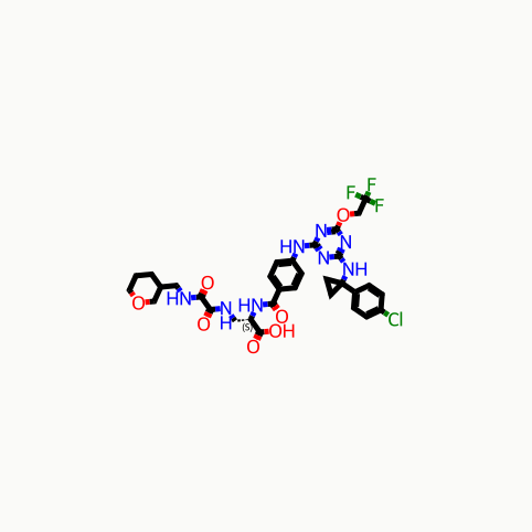 O=C(NCC1CCCOC1)C(=O)NC[C@H](NC(=O)c1ccc(Nc2nc(NC3(c4ccc(Cl)cc4)CC3)nc(OCC(F)(F)F)n2)cc1)C(=O)O